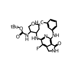 Cc1cccc(Nc2nc(NC3CCOCC3NC(=O)OC(C)(C)C)c(F)c3c2C(=O)NC3)c1